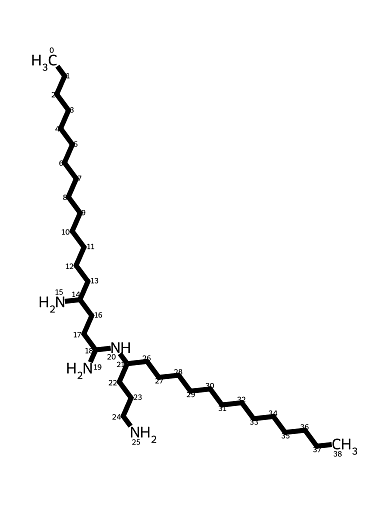 CCCCCCCCCCCCCCC(N)CCC(N)NC(CCCN)CCCCCCCCCCCCC